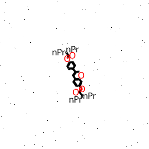 CCCC(CCC)C(=O)Oc1ccc(C2=Cc3ccc(OC(=O)C(CCC)CCC)cc3OC2)cc1